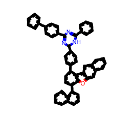 c1ccc(C2=NC(c3ccc(-c4ccccc4)cc3)=NC(c3ccc(-c4ccc(-c5cccc6ccccc56)c5oc6cc7ccccc7cc6c45)cc3)N2)cc1